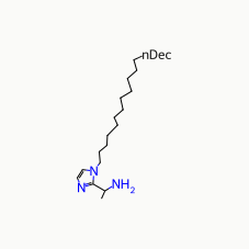 CCCCCCCCCCCCCCCCCCCCCCn1ccnc1C(C)N